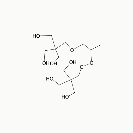 CC(COCC(CO)(CO)CO)OOCC(CO)(CO)CO